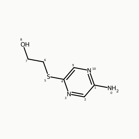 Nc1cnc(SCCO)cn1